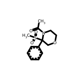 CC(=O)N1CCOCC1(c1ccccc1)S(C)(=O)=O